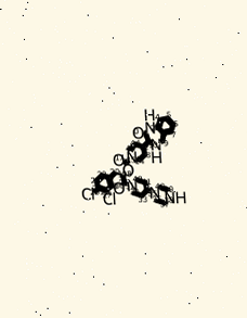 O=C1Nc2ccccc2CNC1C1CCN(C(=O)O[C@H](Cc2ccc(Cl)c(Cl)c2)C(=O)N2CCC(N3CCNCC3)CC2)CC1